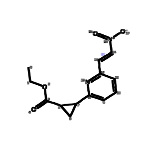 CCOC(=O)C1CC1c1cccc(/C=C/[N+](=O)[O-])n1